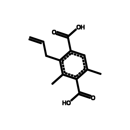 C=CCc1c(C(=O)O)cc(C)c(C(=O)O)c1C